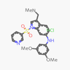 CNCc1cn(S(=O)(=O)c2cccnc2)c2cc(Nc3cc(OC)cc(OC)c3)ccc12.Cl